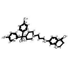 O=C1CCOc2cc(OCCCN3CCC(C(O)(c4ccc(F)cc4)c4ccc(F)cc4)CC3)ccc21